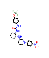 O=C(Nc1ccc(OC(F)(F)F)cc1)N[C@@H]1CCCC[C@H]1NC1CCCN(c2ccc([N+](=O)[O-])cc2)C1